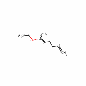 C=CCC/C=C(\C)OCC